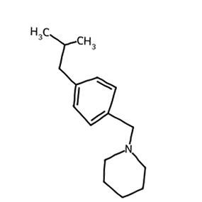 CC(C)Cc1ccc(CN2CCCCC2)cc1